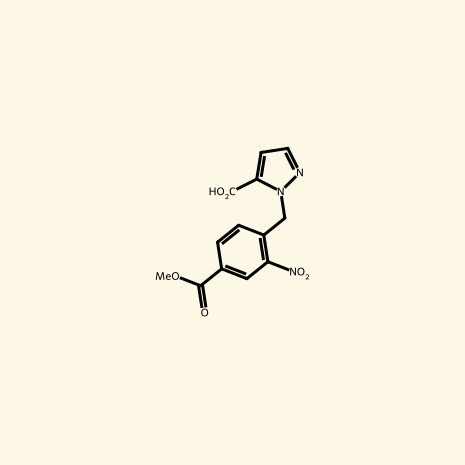 COC(=O)c1ccc(Cn2nccc2C(=O)O)c([N+](=O)[O-])c1